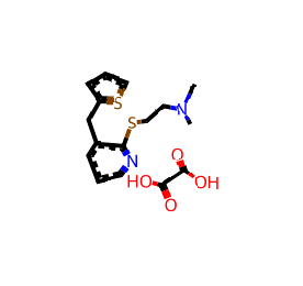 CN(C)CCSc1ncccc1Cc1cccs1.O=C(O)C(=O)O